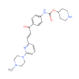 CN1CCN(c2cccc(C=CC(=O)c3ccc(NC(=O)OC4CCNCC4)cc3)n2)CC1